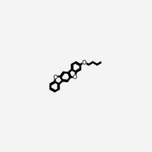 CCCCOc1ccc2c(c1)oc1cc3c(cc12)oc1ccccc13